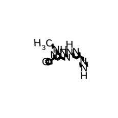 CCCNc1nc(C2CCOC2)cc2cnc(Nc3ccc(CN4CCNCC4)cn3)nc12